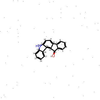 O=C1c2ccccc2-c2ccc3[nH]c4ccccc4c3c21